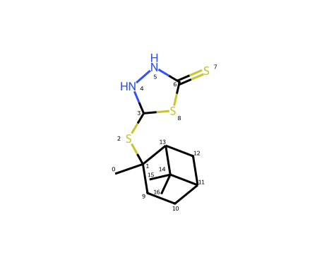 CC1(SC2NNC(=S)S2)CCC2CC1C2(C)C